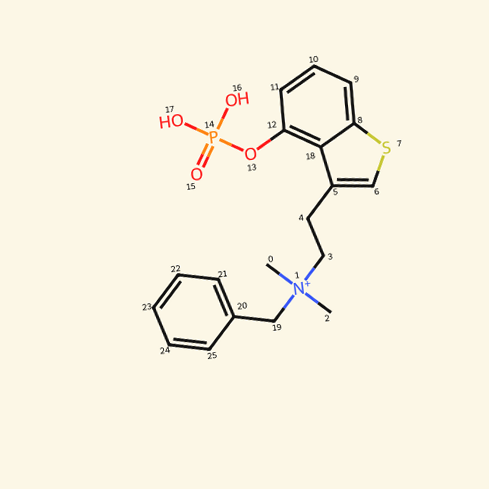 C[N+](C)(CCc1csc2cccc(OP(=O)(O)O)c12)Cc1ccccc1